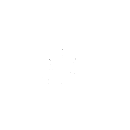 Cc1noc(C)c1-c1ccc2c(-c3nc(N[C@H]4C[C@@H](O)CN(C(=O)O)C4)ncc3C(F)(F)F)c[nH]c2c1